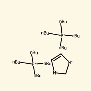 C1=C[N-]C[N-]1.CCCC[P+](CCCC)(CCCC)CCCC.CCCC[P+](CCCC)(CCCC)CCCC